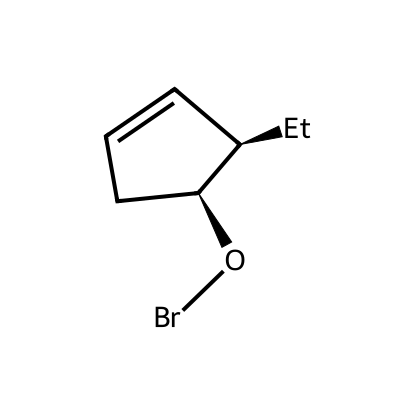 CC[C@@H]1C=CC[C@@H]1OBr